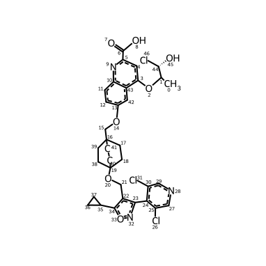 CC(Oc1cc(C(=O)O)nc2ccc(OCC34CCC(OCc5c(-c6c(Cl)cncc6Cl)noc5C5CC5)(CC3)CC4)cc12)[C@@H](O)Cl